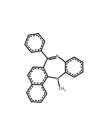 CN1c2ccccc2N=C(c2ccccc2)c2ccc3ccccc3c21